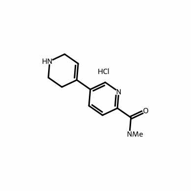 CNC(=O)c1ccc(C2=CCNCC2)cn1.Cl